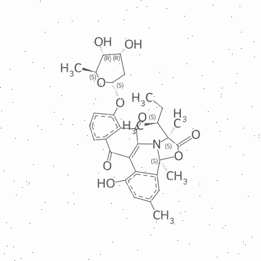 CC[C@H](C)[C@@]1(C)C(=O)O[C@@]2(C)c3cc(C)cc(O)c3C3=C(C(=O)c4c(O[C@H]5C[C@@H](O)[C@@H](O)[C@H](C)O5)cccc4C3=O)N21